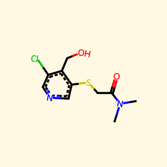 CN(C)C(=O)CSc1cncc(Cl)c1CO